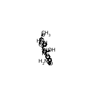 COC[C@H]1C[C@H]2COc3c(Sc4cnc(N5CCC6(CC5)CCC5(CCO5)C6N)c(CO)n4)ccnc3N2C1